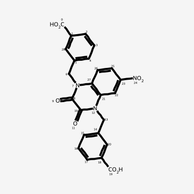 O=C(O)c1cccc(Cn2c(=O)c(=O)n(Cc3cccc(C(=O)O)c3)c3cc([N+](=O)[O-])ccc32)c1